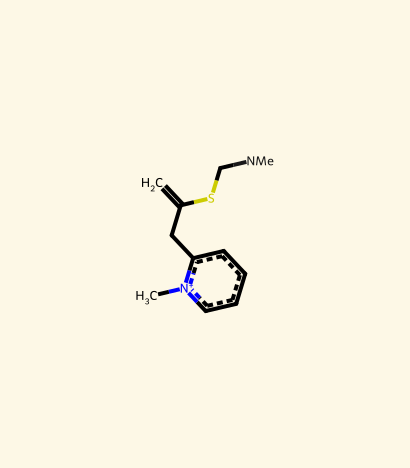 C=C(Cc1cccc[n+]1C)SCNC